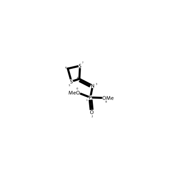 COP(=O)(N=C1SCS1)OC